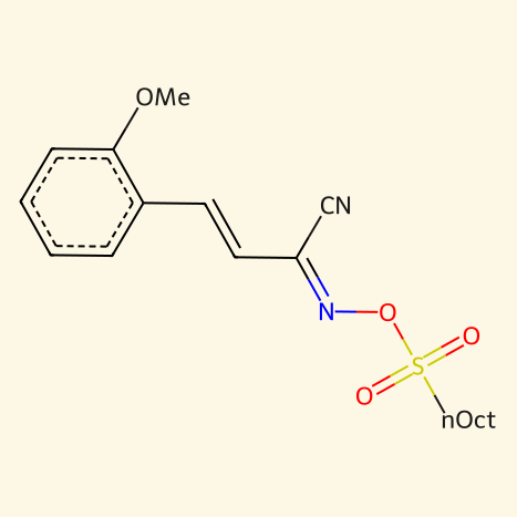 CCCCCCCCS(=O)(=O)O/N=C(C#N)/C=C/c1ccccc1OC